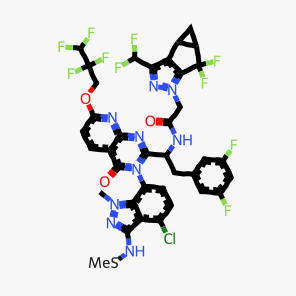 CSNc1nn(C)c2c(-n3c(C(Cc4cc(F)cc(F)c4)NC(=O)Cn4nc(C(F)F)c5c4C(F)(F)C4CC54)nc4nc(OCC(F)(F)C(F)F)ccc4c3=O)ccc(Cl)c12